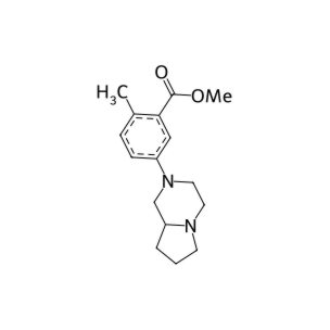 COC(=O)c1cc(N2CCN3CCCC3C2)ccc1C